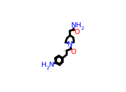 NC(=O)CC1CCN(C(=O)[CH]Cc2ccc(N)cc2)CC1